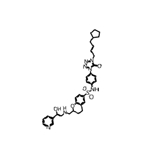 O=c1n(CCCCC2CCCC2)nnn1-c1ccc(NS(=O)(=O)c2ccc3c(c2)CCC(CNCC(O)c2cccnc2)O3)cc1